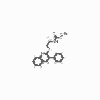 C[C@@H](CSc1nc2ccccc2cc1-c1ccccc1)NC(=O)OC(C)(C)C